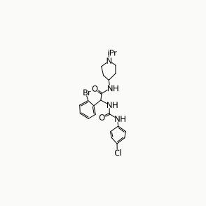 CC(C)N1CCC(NC(=O)C(NC(=O)Nc2ccc(Cl)cc2)c2ccccc2Br)CC1